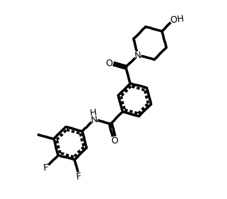 Cc1cc(NC(=O)c2cccc(C(=O)N3CCC(O)CC3)c2)cc(F)c1F